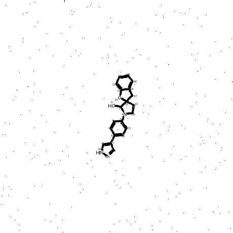 OC1N(c2ccc(-c3cn[nH]c3)cc2)CCC12Cc1ccccc1O2